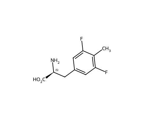 Cc1c(F)cc(C[C@H](N)C(=O)O)cc1F